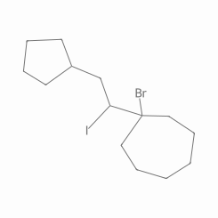 BrC1(C(I)CC2CCCC2)CCCCCC1